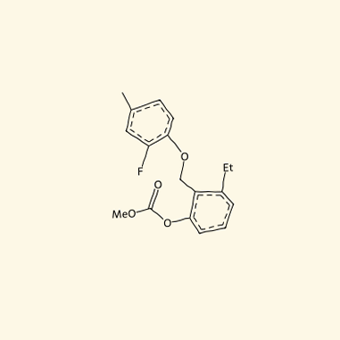 CCc1cccc(OC(=O)OC)c1COc1ccc(C)cc1F